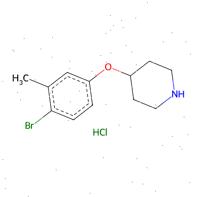 Cc1cc(OC2CCNCC2)ccc1Br.Cl